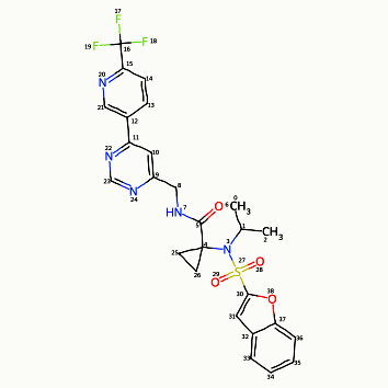 CC(C)N(C1(C(=O)NCc2cc(-c3ccc(C(F)(F)F)nc3)ncn2)CC1)S(=O)(=O)c1cc2ccccc2o1